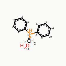 C=[PH](c1ccccc1)c1ccccc1.O